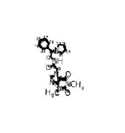 Cn1c(=O)c2c(ncn2CC(=O)NCC(c2ccccc2)N2CCCC2)n(C)c1=O